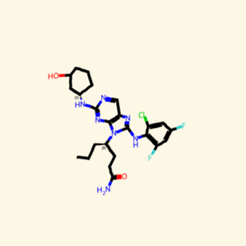 CCC[C@H](CCC(N)=O)n1c(Nc2c(F)cc(F)cc2Cl)nc2cnc(N[C@H]3CCCC(O)C3)nc21